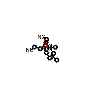 N#Cc1cccc(-c2ccc3c(c2)c2cc(-c4cccc(C#N)c4)ccc2n3-c2ccc(-c3cccc4c3c3ccccc3n4-c3ccccc3)cc2-c2nc(-c3ccccc3)nc(-c3ccccc3)n2)c1